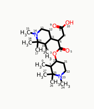 CC1C(OC(=O)C(CC(=O)O)C2CCN(C)C(C)(C)C2C)CCN(C)C1(C)C